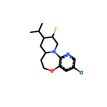 CC(C)C1CC2CCOc3cc(Cl)cnc3N2CC1F